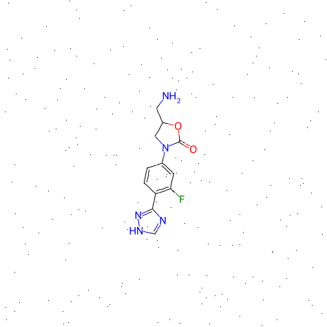 NCC1CN(c2ccc(-c3nc[nH]n3)c(F)c2)C(=O)O1